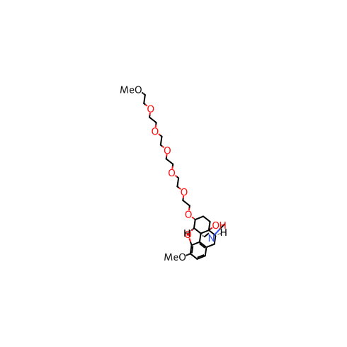 COCCOCCOCCOCCOCCOCCO[C@H]1CCC2(O)[C@H]3Cc4ccc(OC)c5c4[C@@]2(CCN3C)[C@H]1O5